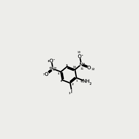 Nc1c(I)cc([N+](=O)[O-])cc1[N+](=O)[O-]